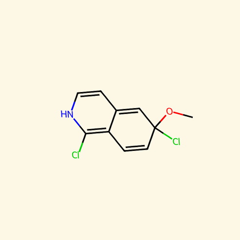 COC1(Cl)C=CC2=C(Cl)NC=CC2=C1